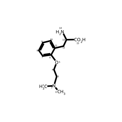 CN(C)CCOc1ccccc1CC(N)C(=O)O